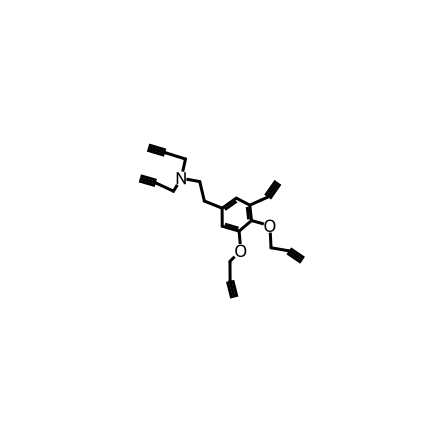 C#CCOc1cc(CCN(CC#C)CC#C)cc(C#C)c1OCC#C